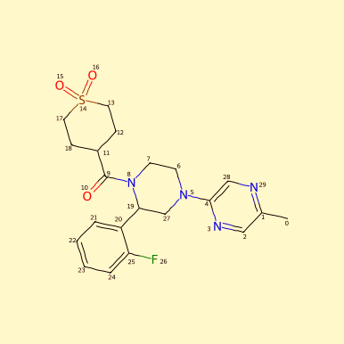 Cc1cnc(N2CCN(C(=O)C3CCS(=O)(=O)CC3)C(c3ccccc3F)C2)cn1